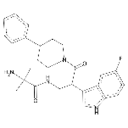 CC(C)(N)C(=O)NCC(C(=O)N1CCC(c2ccccc2)CC1)c1c[nH]c2ccc(F)cc12